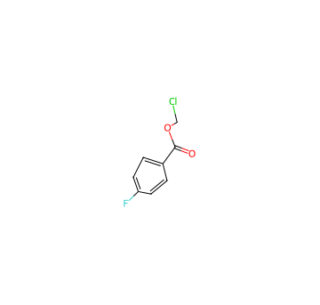 O=C(OCCl)c1ccc(F)cc1